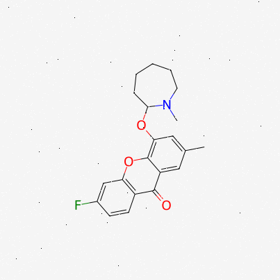 Cc1cc(OC2CCCCCN2C)c2oc3cc(F)ccc3c(=O)c2c1